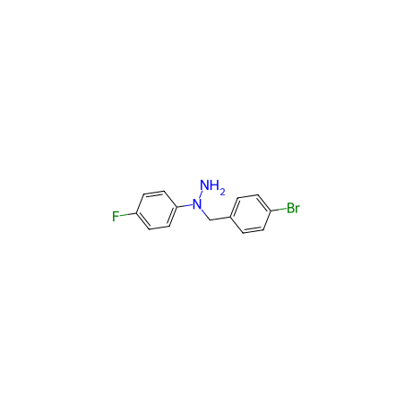 NN(Cc1ccc(Br)cc1)c1ccc(F)cc1